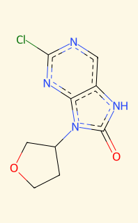 O=c1[nH]c2cnc(Cl)nc2n1C1CCOC1